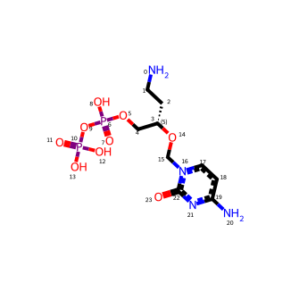 NCC[C@@H](COP(=O)(O)OP(=O)(O)O)OCn1ccc(N)nc1=O